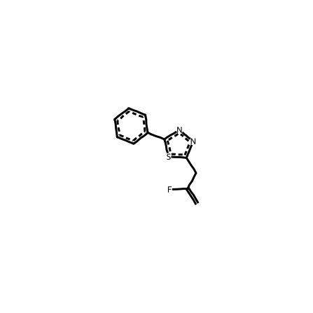 C=C(F)Cc1nnc(-c2ccccc2)s1